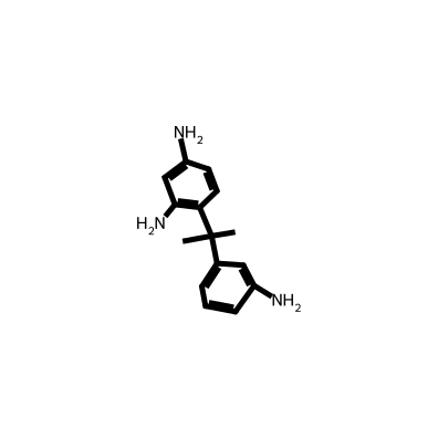 CC(C)(c1cccc(N)c1)c1ccc(N)cc1N